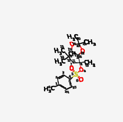 Cc1ccc(S(=O)(=O)OC(C)(CC(C)(C)C)C2COC(C)(C)O2)cc1